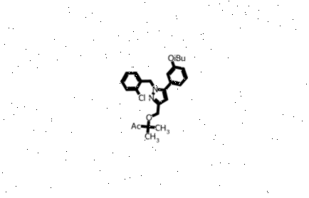 CC(=O)C(C)(C)OCc1cc(-c2cccc(OCC(C)C)c2)n(Cc2ccccc2Cl)n1